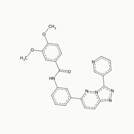 COc1ccc(C(=O)Nc2cccc(-c3ccc4nnc(-c5cccnc5)n4n3)c2)cc1OC